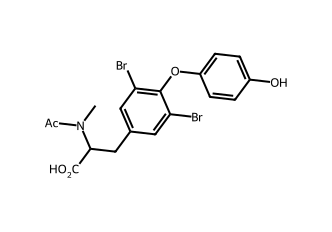 CC(=O)N(C)C(Cc1cc(Br)c(Oc2ccc(O)cc2)c(Br)c1)C(=O)O